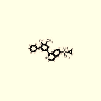 Cc1cc(-c2nccc3cc(S(C)(C)C4CC4)ccc23)cc(-c2ccccc2)c1F